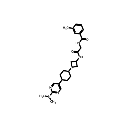 Cc1cccc(C(=O)NCC(=O)NC2CN(C3CCC(c4cnc(N(C)C)nc4)CC3)C2)c1